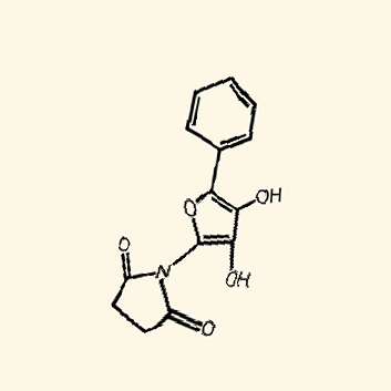 O=C1CCC(=O)N1c1oc(-c2ccccc2)c(O)c1O